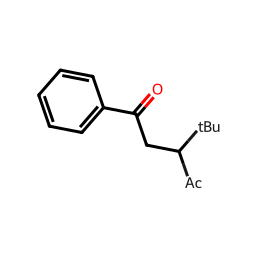 CC(=O)C(CC(=O)c1ccccc1)C(C)(C)C